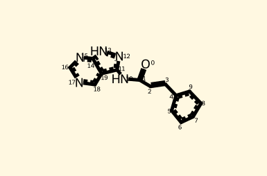 O=C(C=Cc1ccccc1)Nc1n[nH]c2ncncc12